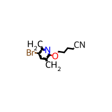 C=c1cc(Br)c(=C)nc1OCCCCC#N